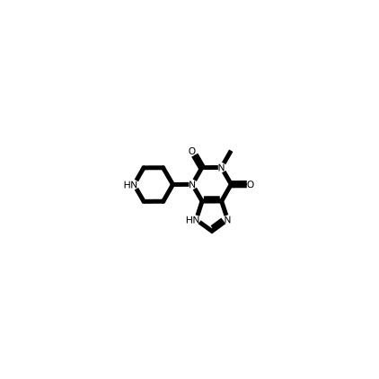 Cn1c(=O)c2nc[nH]c2n(C2CCNCC2)c1=O